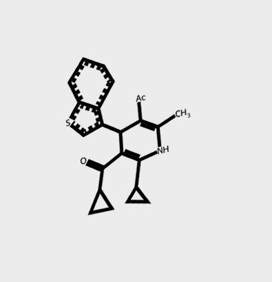 CC(=O)C1=C(C)NC(C2CC2)=C(C(=O)C2CC2)C1c1csc2ccccc12